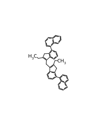 CCC1=C(CC2=C(CC)Cc3c2cccc3-c2cccc3ccccc23)c2cccc(-c3cccc4ccccc34)c2C1